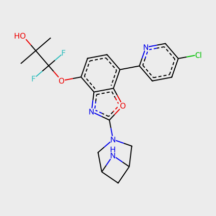 CC(C)(O)C(F)(F)Oc1ccc(-c2ccc(Cl)cn2)c2oc(N3CC4CC(C3)N4)nc12